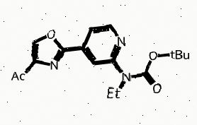 CCN(C(=O)OC(C)(C)C)c1cc(-c2nc(C(C)=O)co2)ccn1